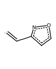 [CH]=Cc1ccon1